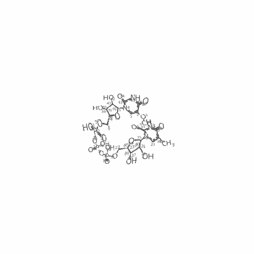 COc1cn([C@H]2O[C@@H](COP(=O)(O)OP(=O)(O)OP(=O)(O)OC[C@H]3O[C@@H](n4cc(C)c(=O)[nH]c4=O)C(O)[C@H]3O)[C@@H](O)C2O)c(=O)[nH]c1=O